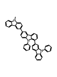 Cn1c2ccccc2c2cc(-c3ccc4c(c3)c3cccc(-c5ccc6c7ccccc7n(-c7ccccc7)c6c5)c3n4-c3ccccc3)ccc21